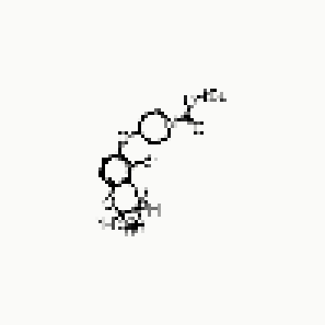 [2H]C1([2H])Oc2ccc(OC3CCN(C(=O)OC(C)(C)C)CC3)c(Br)c2OC1([2H])[2H]